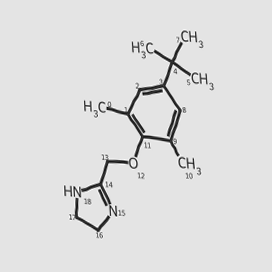 Cc1cc(C(C)(C)C)cc(C)c1OCC1=NCCN1